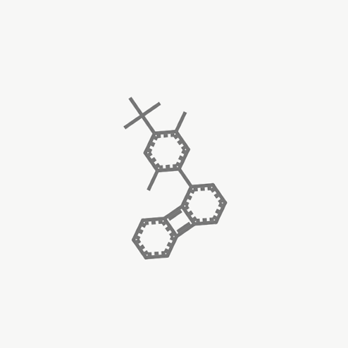 Cc1cc(C(C)(C)C)c(C)cc1-c1cccc2c1=c1ccccc1=2